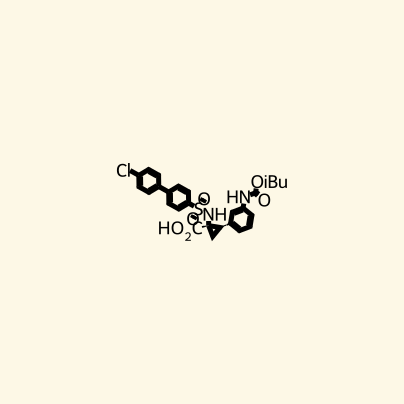 CC(C)COC(=O)Nc1cccc([C@@H]2C[C@]2(NS(=O)(=O)c2ccc(-c3ccc(Cl)cc3)cc2)C(=O)O)c1